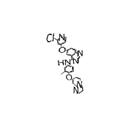 Cc1cc(Nc2ncnc3ccc(Oc4ccnc(Cl)c4)cc23)ccc1OC1=CC2=NC=C=CN2C=C1